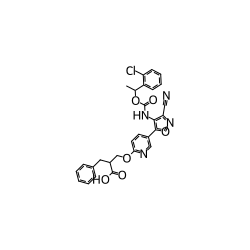 CC(OC(=O)Nc1c(C#N)noc1-c1ccc(OCC(Cc2ccccc2)C(=O)O)nc1)c1ccccc1Cl